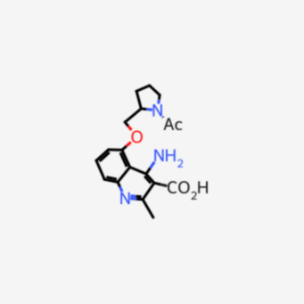 CC(=O)N1CCCC1COc1cccc2nc(C)c(C(=O)O)c(N)c12